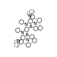 c1ccc(-c2cccc(-c3ccccc3)c2N2c3ccccc3B3c4cc5c(cc4N(c4ccccc4)c4cc(N6C7CC8CC(C7)CC6C8)cc2c43)N(c2ccccc2)c2cc(N3C4CC6CC(C4)CC3C6)cc3c2B5c2ccccc2N3c2c(-c3ccccc3)cccc2-c2ccccc2)cc1